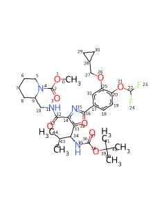 COC(=O)N1CCCCC1CNC(=O)c1nc(-c2ccc(OC(F)F)c(OCC3CC3)c2)oc1[C@@H](NC(=O)OC(C)(C)C)C(C)C